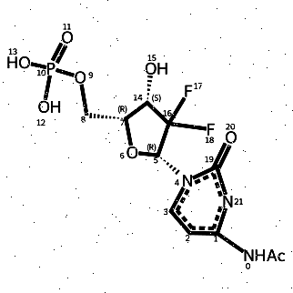 CC(=O)Nc1ccn([C@@H]2O[C@H](COP(=O)(O)O)[C@H](O)C2(F)F)c(=O)n1